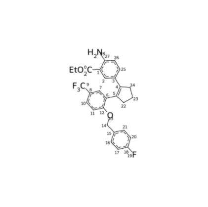 CCOC(=O)c1cc(C2=C(c3cc(C(F)(F)F)ccc3OCc3ccc(F)cc3)CCC2)ccc1N